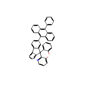 Nc1cccc2c1C1(c3ccccc3Oc3ccccc31)c1cc(-c3c4ccccc4c(-c4ccccc4)c4ccccc34)ccc1-2